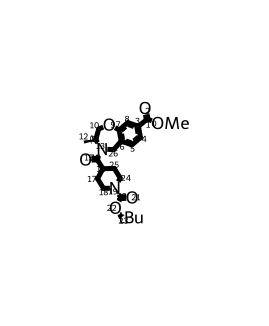 COC(=O)c1ccc2c(c1)OC[C@H](C)N(C(=O)C1CCN(C(=O)OC(C)(C)C)CC1)C2